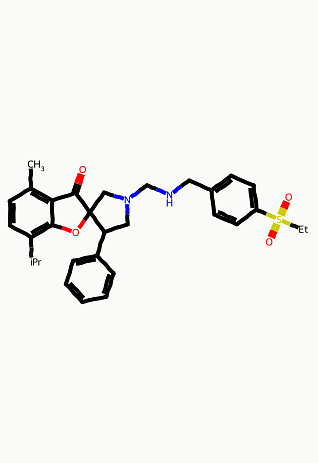 CCS(=O)(=O)c1ccc(CNCN2CC(c3ccccc3)C3(C2)Oc2c(C(C)C)ccc(C)c2C3=O)cc1